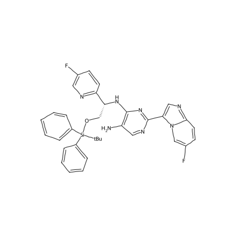 CC(C)(C)[Si](OC[C@@H](Nc1nc(-c2cnc3ccc(F)cn23)ncc1N)c1ccc(F)cn1)(c1ccccc1)c1ccccc1